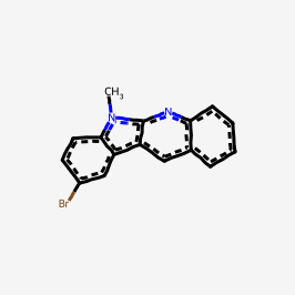 Cn1c2ccc(Br)cc2c2cc3ccccc3nc21